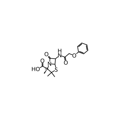 CC1(C)SC2C(NC(=O)COc3ccccc3)C(=O)N2[C@@]1(C)C(=O)O